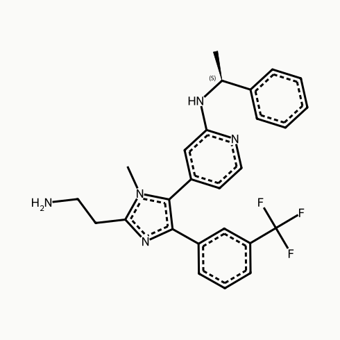 C[C@H](Nc1cc(-c2c(-c3cccc(C(F)(F)F)c3)nc(CCN)n2C)ccn1)c1ccccc1